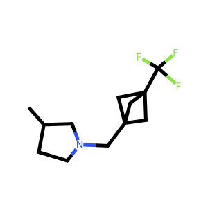 CC1CCN(CC23CC(C(F)(F)F)(C2)C3)C1